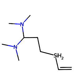 C=C[SiH2]CCC(N(C)C)N(C)C